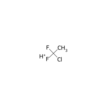 CC(F)(F)Cl.[H+]